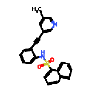 Cc1cncc(C#Cc2ccccc2NS(=O)(=O)c2cccc3ccccc23)c1